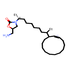 CCC(CCCCCC[C@@H](CC)N1CC(CN)OC1=O)C1/C=C\CCCCCCCCCC1